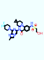 Cc1cn2cc(NC(=O)c3ccc(NS(=O)(=O)CCO)cc3N3CCC4(CC3)CC4)nc(N3CCC(F)(F)CC3)c2n1